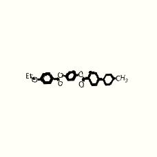 CCOc1ccc(C(=O)Oc2ccc(OC(=O)C3CCC(C4CCC(C)CC4)CC3)cc2)cc1